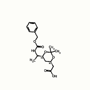 CC(NC(=O)OCc1ccccc1)[C@@H]1C[C@H](CC(=O)O)OC(C)(C)O1